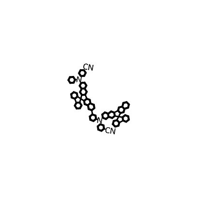 N#Cc1ccc(N(c2ccccc2)c2ccc3cc4c(cc3c2)C2(c3ccccc3-c3ccccc32)c2cc3cc(-c5cccc(N(c6cccc(C#N)c6)c6ccc7cc8c(cc7c6)C6(c7ccccc7-c7ccccc76)c6cc7ccccc7cc6-8)c5)ccc3cc2-4)cc1